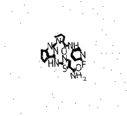 NC(=O)c1cnc(Nc2nc(N3CCCC3C(=O)Nc3ccc(F)nc3)nc3c2CCC3)s1